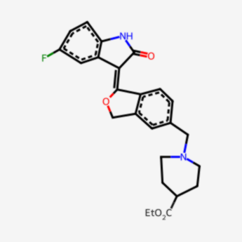 CCOC(=O)C1CCN(Cc2ccc3c(c2)COC3=C2C(=O)Nc3ccc(F)cc32)CC1